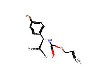 C=CCOC(=O)N[C@@H](c1ccc(Br)cc1)C(C(C)=O)C(C)=O